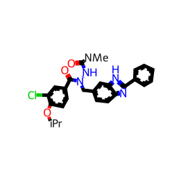 CNC(=O)NN(Cc1ccc2nc(-c3ccccc3)[nH]c2c1)C(=O)c1ccc(OC(C)C)c(Cl)c1